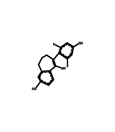 CCCC1=C(c2c(F)cc(O)cc2F)CCCc2cc(O)ccc21